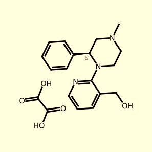 CN1CCN(c2ncccc2CO)[C@@H](c2ccccc2)C1.O=C(O)C(=O)O